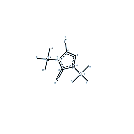 C[Si](C)(C)n1cc(F)n([Si](C)(C)C)c1=S